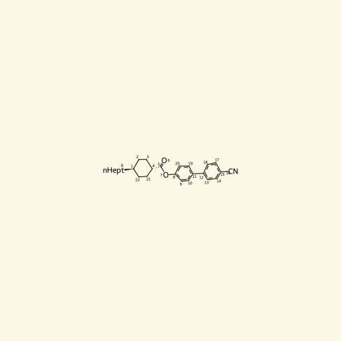 CCCCCCC[C@H]1CC[C@H](C(=O)Oc2ccc(-c3ccc(C#N)cc3)cc2)CC1